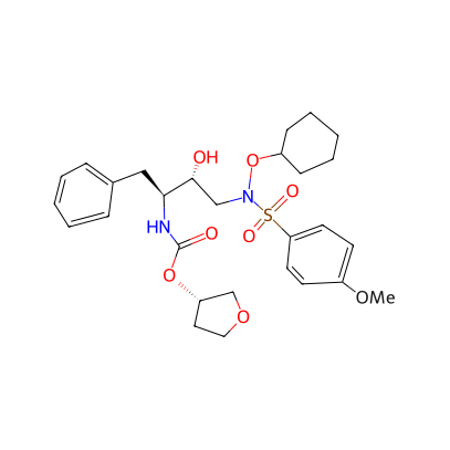 COc1ccc(S(=O)(=O)N(C[C@@H](O)[C@H](Cc2ccccc2)NC(=O)O[C@H]2CCOC2)OC2CCCCC2)cc1